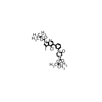 CC(C)(C)OC(=O)N1CCN(c2cccc(-c3cnc4c(c(I)cn4C(=O)OC(C)(C)C)c3Cl)c2)C(=O)C1